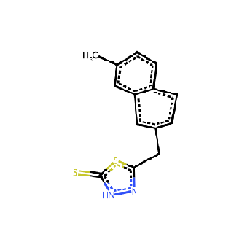 Cc1ccc2ccc(Cc3n[nH]c(=S)s3)cc2c1